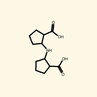 O=C(O)C1CCCC1NC1CCCC1C(=O)O